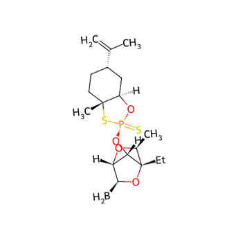 B[C@@H]1O[C@@]2(CC)[C@H](C)O[C@@H]1[C@@H]2O[P@]1(=S)O[C@@H]2C[C@@H](C(=C)C)CC[C@@]2(C)S1